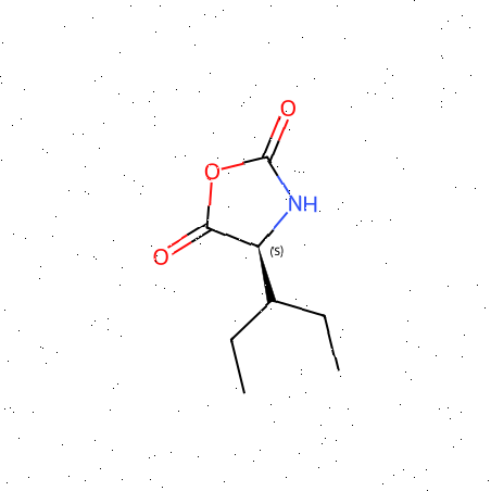 CCC(CC)[C@@H]1NC(=O)OC1=O